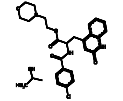 CC(O)C(=O)O.O=C(NC(Cc1cc(=O)[nH]c2ccccc12)C(=O)OCCN1CCOCC1)c1ccc(Cl)cc1